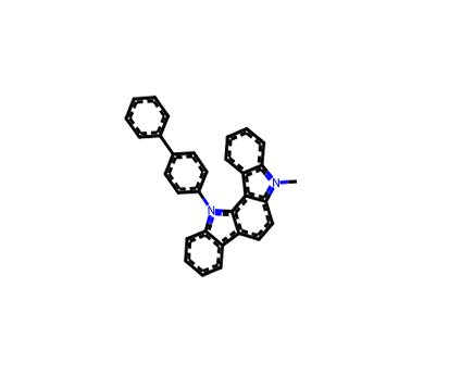 Cn1c2ccccc2c2c1ccc1c3ccccc3n(-c3ccc(-c4ccccc4)cc3)c12